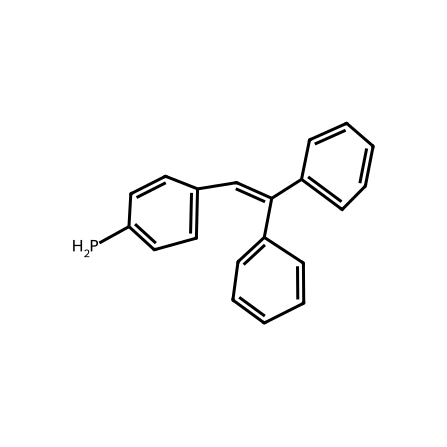 Pc1ccc(C=C(c2ccccc2)c2ccccc2)cc1